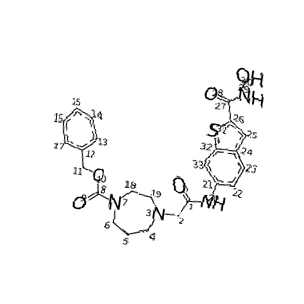 O=C(CN1CCCN(C(=O)OCc2ccccc2)CC1)Nc1ccc2cc(C(=O)NO)sc2c1